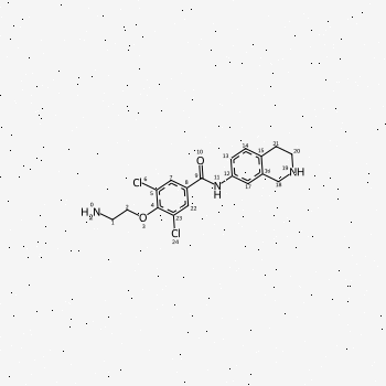 NCCOc1c(Cl)cc(C(=O)Nc2ccc3c(c2)CNCC3)cc1Cl